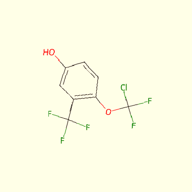 Oc1ccc(OC(F)(F)Cl)c(C(F)(F)F)c1